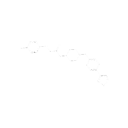 O=C(COc1ccc(Cl)cc1)NC1CCN(Cc2ccc(-c3csnn3)cc2)CC1